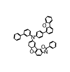 C1=C2c3c(ccc4nc(-c5ccccc5)oc34)OC2CC=C1N(c1ccc(-c2cccc3c2oc2ccccc23)cc1)c1cccc(-c2ccccc2)c1